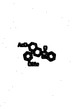 COc1cccc(C23CC[N+](O)(C(=O)c4ccccc4)CC2CCC(OC(C)=O)C3)c1